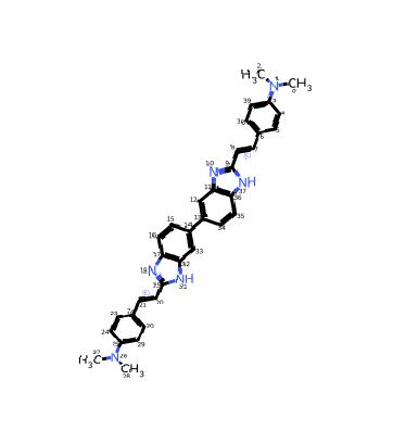 CN(C)c1ccc(/C=C/c2nc3cc(-c4ccc5nc(/C=C/c6ccc(N(C)C)cc6)[nH]c5c4)ccc3[nH]2)cc1